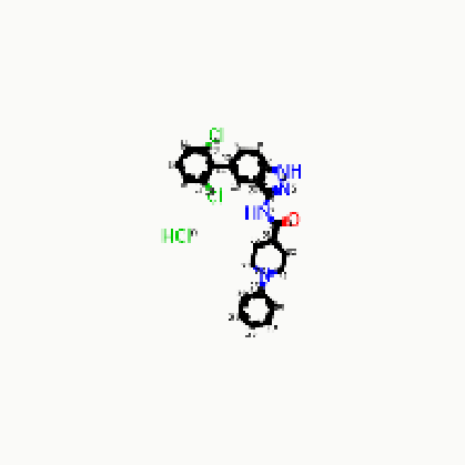 Cl.O=C(Nc1n[nH]c2ccc(-c3c(Cl)cccc3Cl)cc12)C1CCN(c2ccccc2)CC1